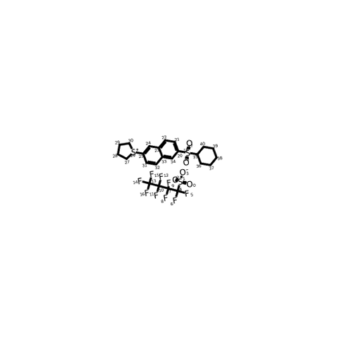 O=S(=O)([O-])C(F)(F)C(F)(F)C(F)(F)C(F)(F)F.O=S(=O)(c1ccc2cc([S+]3CCCC3)ccc2c1)C1CCCCC1